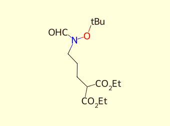 CCOC(=O)C(CCCN(C=O)OC(C)(C)C)C(=O)OCC